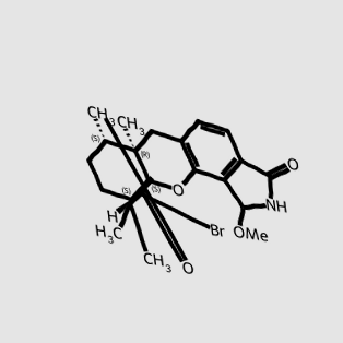 COC1NC(=O)c2ccc3c(c21)O[C@@]12CC(Br)C(=O)C(C)(C)[C@@H]1CC[C@H](C)[C@@]2(C)C3